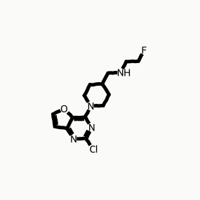 FCCNCC1CCN(c2nc(Cl)nc3ccoc23)CC1